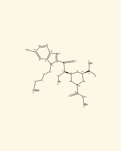 COCCCCn1c(C(=O)N(CC(C)C)[C@H]2C[C@@H](C(C)O)CN(C(=O)OC(C)(C)C)C2)nc2ccc(F)cc21